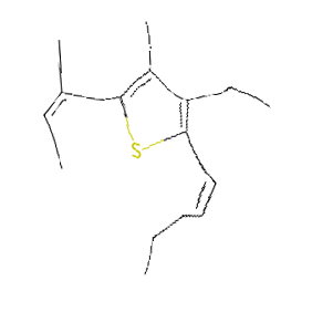 C/C=C(/C)c1sc(/C=C\CC)c(CC)c1C